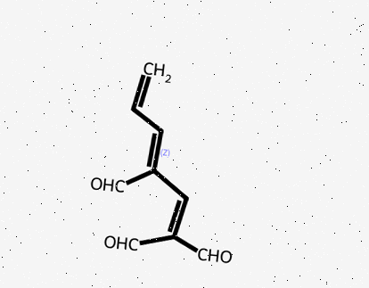 C=C/C=C(\C=O)C=C(C=O)C=O